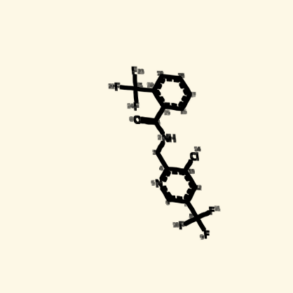 O=C(NCc1ncc(C(F)(F)F)cc1Cl)c1ccccc1C(F)(F)F